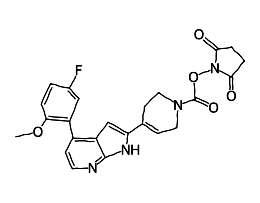 COc1ccc(F)cc1-c1ccnc2[nH]c(C3=CCN(C(=O)ON4C(=O)CCC4=O)CC3)cc12